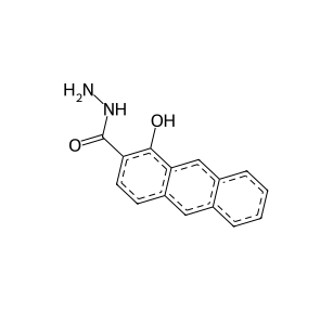 NNC(=O)c1ccc2cc3ccccc3cc2c1O